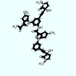 C[C@@H]1Cc2c(C(=O)Nc3cc(C#C[C@]4(O)CCN(C)C4=O)cc(-n4nc(C(N)=O)c5c4C[C@@H](C)C5)c3)nn(-c3cccc(C#C[C@]4(O)CCN(C)C4=O)c3)c2C1